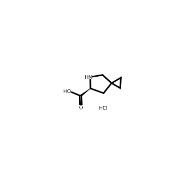 Cl.O=C(O)[C@@H]1CC2(CC2)CN1